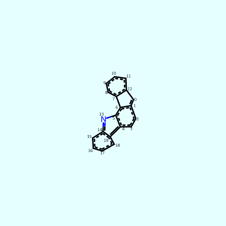 C1=c2ccc3c(c2-c2ccccc21)N=c1ccccc1=3